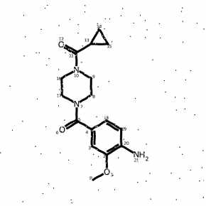 COc1cc(C(=O)N2CCN(C(=O)C3CC3)CC2)ccc1N